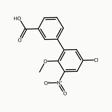 COc1c(-c2cccc(C(=O)O)c2)cc(Cl)cc1[N+](=O)[O-]